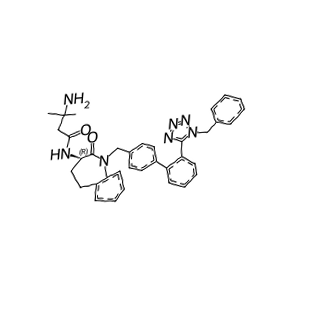 CC(C)(N)CC(=O)N[C@@H]1CCc2ccccc2N(Cc2ccc(-c3ccccc3-c3nnnn3Cc3ccccc3)cc2)C1=O